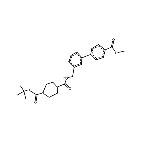 COC(=O)c1ccc(-c2ccnc(CNC(=O)C3CCN(C(=O)OC(C)(C)C)CC3)c2)cc1